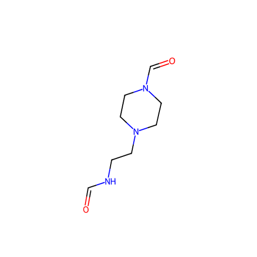 O=CNCCN1CCN(C=O)CC1